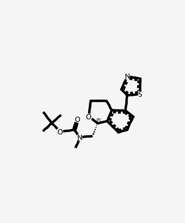 CN(C[C@@H]1OCCc2c(-c3cncs3)cccc21)C(=O)OC(C)(C)C